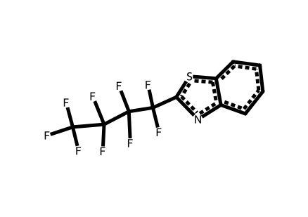 FC(F)(F)C(F)(F)C(F)(F)C(F)(F)c1nc2ccccc2s1